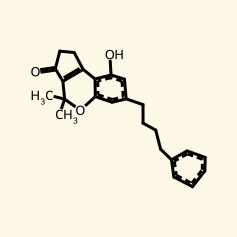 CC1(C)Oc2cc(CCCCc3ccccc3)cc(O)c2C2=C1C(=O)CC2